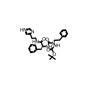 CC(C)(C)OC(=O)NN(CCc1ccccc1)C(=O)N[C@@H](Cc1ccccc1)C(=O)NCCc1c[nH]cn1